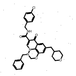 O=C(NCc1ccc(Cl)cc1)c1cn2c3c(cc(CC4CCOCC4)cc3c1=O)OCN2Cc1ccccc1